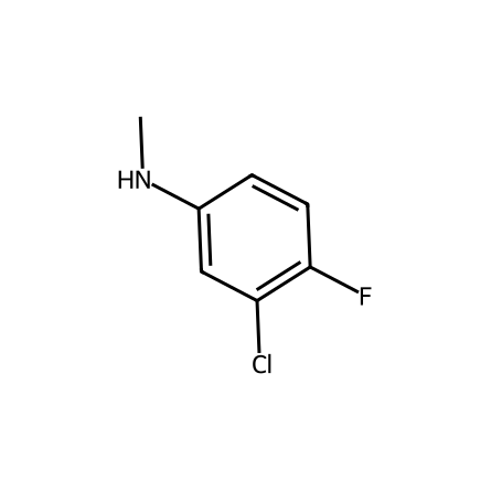 CNc1ccc(F)c(Cl)c1